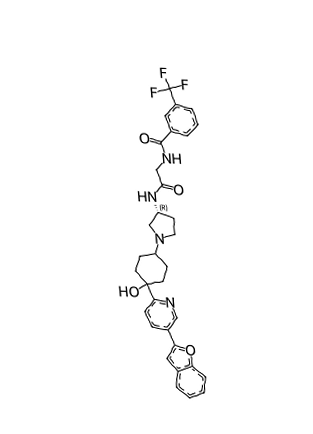 O=C(CNC(=O)c1cccc(C(F)(F)F)c1)N[C@@H]1CCN(C2CCC(O)(c3ccc(-c4cc5ccccc5o4)cn3)CC2)C1